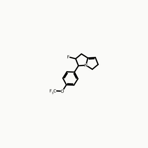 FC1CC2=CCCN2C1c1ccc(OC(F)(F)F)cc1